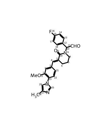 COc1cc(/C=C2\CCCN(C(C=O)c3ccc(F)cc3)C2=O)ccc1-n1cnc(C)c1